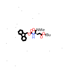 CNC(=O)[C@@H](CCC(=O)OC(C)(C)C)NC(=O)OCC1c2ccccc2-c2ccccc21